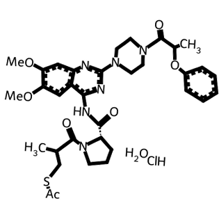 COc1cc2nc(N3CCN(C(=O)C(C)Oc4ccccc4)CC3)nc(NC(=O)[C@@H]3CCCN3C(=O)C(C)CSC(C)=O)c2cc1OC.Cl.O